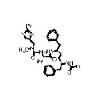 CCC(=O)N[C@H](CC[C@H](Cc1ccccc1)NC(=O)[C@@H](NC(=O)N(C)Cc1csc(C(C)C)n1)C(C)C)Cc1ccccc1